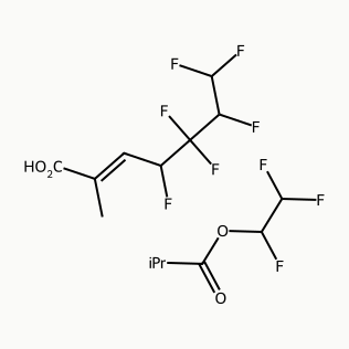 CC(=CC(F)C(F)(F)C(F)C(F)F)C(=O)O.CC(C)C(=O)OC(F)C(F)F